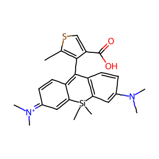 Cc1scc(C(=O)O)c1C1=C2C=CC(=[N+](C)C)C=C2[Si](C)(C)c2cc(N(C)C)ccc21